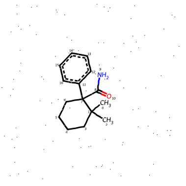 CC1(C)CCCCC1(C(N)=O)c1ccccc1